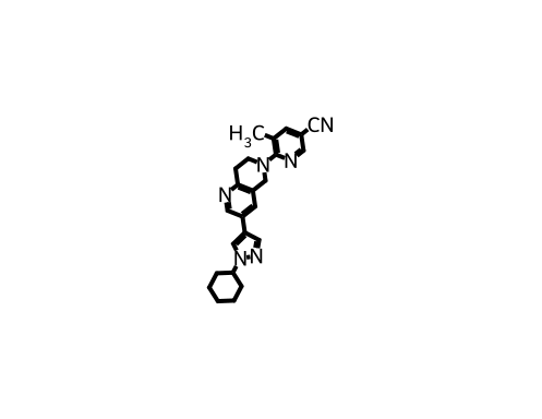 Cc1cc(C#N)cnc1N1CCc2ncc(-c3cnn(C4CCCCC4)c3)cc2C1